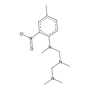 Cc1ccc(N(C)CN(C)CN(C)C)c([N+](=O)[O-])c1